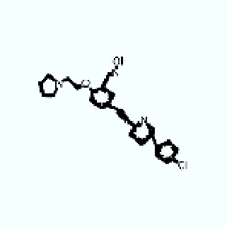 ON=Cc1cc(C#Cc2ccc(-c3ccc(Cl)cc3)cn2)ccc1OCCN1CCCC1